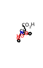 CN(CCCCOc1ccccc1)[C@@H]1[C@@H](C/C=C\CCCC(=O)O)[C@@H](OCc2ccccc2)C[C@H]1O